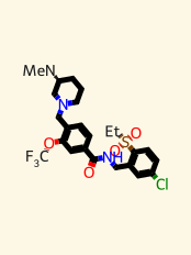 CCS(=O)(=O)c1ccc(Cl)cc1CNC(=O)c1ccc(CN2CCC[C@H](NC)C2)c(OC(F)(F)F)c1